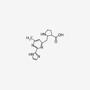 Cc1cc(CC2NCCC2C(=O)O)nc(-c2ncc[nH]2)n1